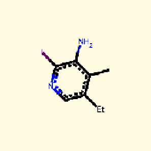 CCc1cnc(I)c(N)c1C